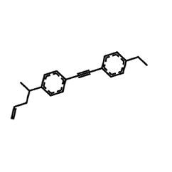 C=CCC(C)c1ccc(C#Cc2ccc(CC)cc2)cc1